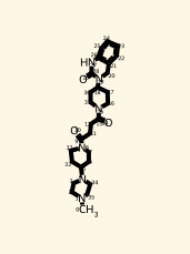 CN1CCN(C2CCN(C(=O)CCC(=O)N3CCC(N4Cc5ccccc5NC4=O)CC3)CC2)CC1